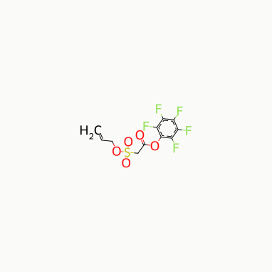 C=CCOS(=O)(=O)CC(=O)Oc1c(F)c(F)c(F)c(F)c1F